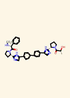 C[C@@H](O)C(=O)N1CCC[C@H]1c1ncc(-c2ccc(-c3ccc(-c4cnc([C@@H]5CCCN5C(=O)[C@H](NC(=O)O)c5ccccc5)[nH]4)cc3)cc2)[nH]1